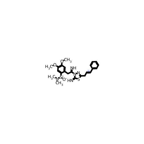 COc1cc(CC(=N)n2nc(C/C=C/c3ccccc3)sc2=N)c([S+]([O-])N(C)C)cc1OC